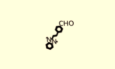 CN1c2ccccc2N(C)C1C=Cc1ccc(C=O)cc1